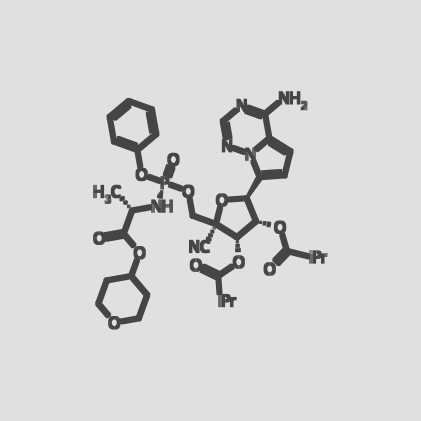 CC(C)C(=O)O[C@H]1[C@H](c2ccc3c(N)ncnn23)O[C@](C#N)(CO[P@@](=O)(N[C@@H](C)C(=O)OC2CCOCC2)Oc2ccccc2)[C@H]1OC(=O)C(C)C